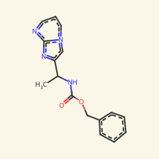 CC(NC(=O)OCc1ccccc1)c1cn2cccnc2n1